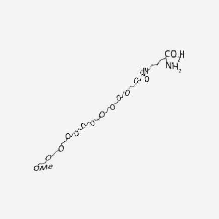 COCCOCCOCCOCCOCCOCCOCCOCCOCCOCCOCCOCCC(=O)NCCCC[C@H](N)C(=O)O